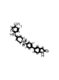 Cc1ccc(NC2CCN(S(=O)(=O)c3ccc(-c4ccc5c(c4)CC(=O)N5)cc3)CC2)nc1